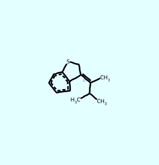 C/C(=C1\CSc2ccccc21)C(C)C